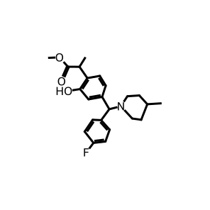 COC(=O)C(C)c1ccc(C(c2ccc(F)cc2)N2CCC(C)CC2)cc1O